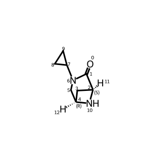 O=C1[C@@H]2C[C@H](CN1C1CC1)N2